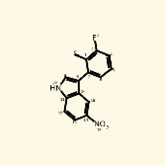 Cc1c(F)cccc1-c1c[nH]c2ccc([N+](=O)[O-])cc12